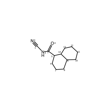 N#CNC(=O)C1CCCC2CCCCC21